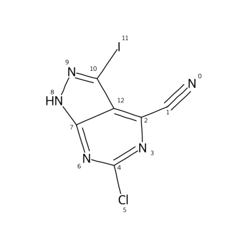 N#Cc1nc(Cl)nc2[nH]nc(I)c12